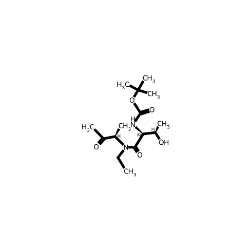 CCN(C(=O)[C@@H](NC(=O)OC(C)(C)C)[C@@H](C)O)[C@H](C)C(C)=O